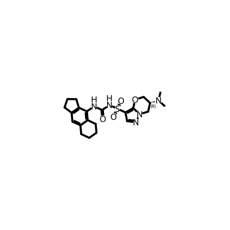 CN(C)[C@H]1COc2c(S(=O)(=O)NC(=O)Nc3c4c(cc5c3CCC5)CCCC4)cnn2C1